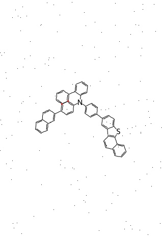 c1ccc(-c2ccccc2N(c2ccc(-c3ccc4ccccc4c3)cc2)c2ccc(-c3ccc4sc5c6ccccc6ccc5c4c3)cc2)cc1